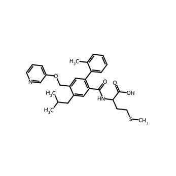 CSCCC(NC(=O)c1cc(CC(C)C)c(COc2cccnc2)cc1-c1ccccc1C)C(=O)O